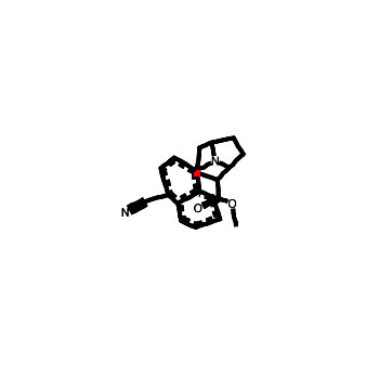 COC(=O)C1CCC2CCC1N2c1ccc(C#N)c2ccccc12